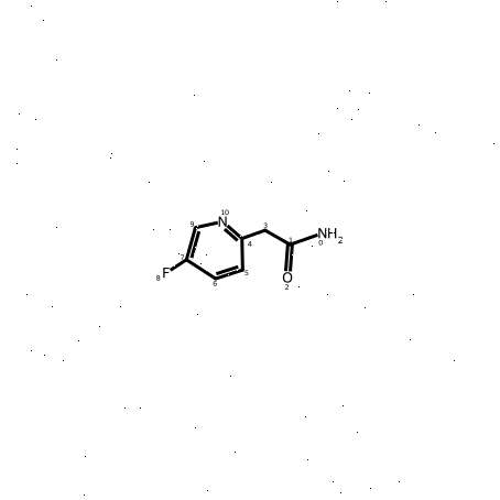 NC(=O)Cc1ccc(F)cn1